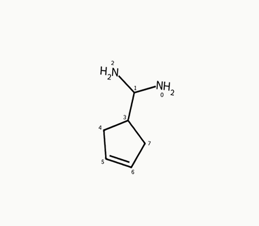 NC(N)C1CC=CC1